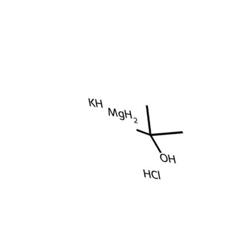 CC(C)(C)O.Cl.[KH].[MgH2]